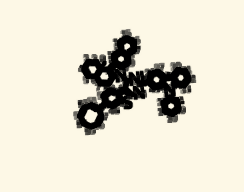 C[C@]12C=CC=CC1C=Cc1c2c2cc3ccccc3cc2n1C1NC(c2ccc3c4ccccc4n(-c4ccccc4)c3c2)=Nc2sc3cc(C4=C/C=C\CC/C=C\4)ccc3c21